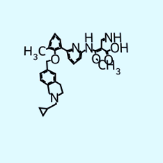 CO/C(Nc1cccc(-c2cccc(C)c2OCc2ccc3c(c2)CCN(CC2CC2)C3)n1)=C(/C=N)C(=O)O